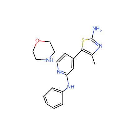 C1COCCN1.Cc1nc(N)sc1-c1ccnc(Nc2ccccc2)c1